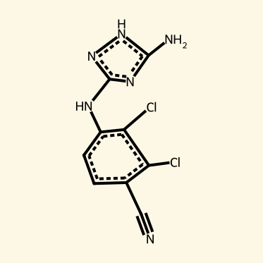 N#Cc1ccc(Nc2n[nH]c(N)n2)c(Cl)c1Cl